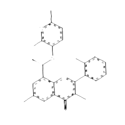 Cc1cc([C@@H](C)Nc2ccc(C)nc2C(=O)O)c2oc(-c3ccccc3F)c(C)c(=O)c2c1